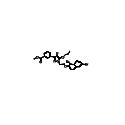 CCCOc1c(F)c(-c2cccc(C(=O)OC)c2)nn1CCOc1ccc2cc(Br)ccc2c1Br